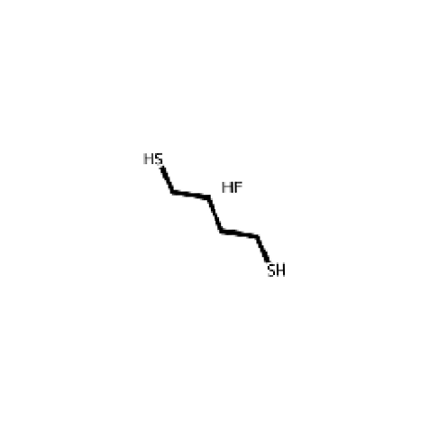 F.SCCCCS